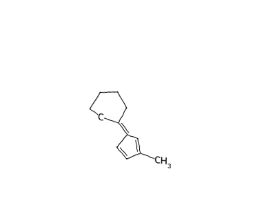 CC1=CC(=C2CCCCC2)C=C1